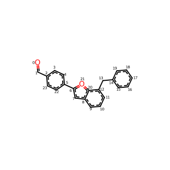 O=Cc1ccc(-c2cc3cccc(Cc4ccccc4)c3o2)cc1